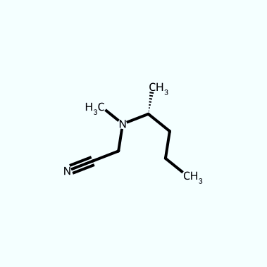 CCC[C@@H](C)N(C)CC#N